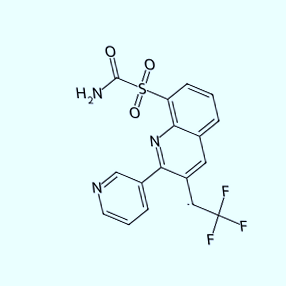 NC(=O)S(=O)(=O)c1cccc2cc([CH]C(F)(F)F)c(-c3cccnc3)nc12